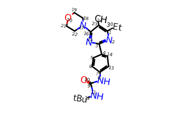 CCc1nc(-c2ccc(NC(=O)NC(C)(C)C)cc2)nc(N2CCOCC2)c1C